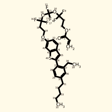 C=CC(=O)OCCC(F)(F)OC(F)(F)OC(F)(F)CCOc1ccc2cc(-c3ccc(CCCCC)cc3CC)sc2c1